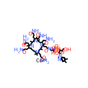 C/C1=C2N=C(/C=C3N=C(/C(C)=C4\[N-]C(C(CC(N)=O)C4(C)CCC(=O)NCC(C)OP(=O)([O-])OC4C(CO)OC(n5cnc6cc(C)c(C)cc65)C4O)C4(C)N=C1C(CCC(N)=O)C4(C)CC(N)=O)C(CCC(N)=O)C\3(C)C)C(CCC(N)=O)C/2(C)CC(N)=O.[Co+2]